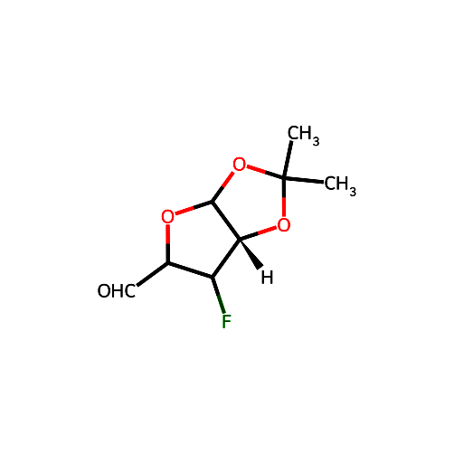 CC1(C)OC2OC(C=O)C(F)[C@H]2O1